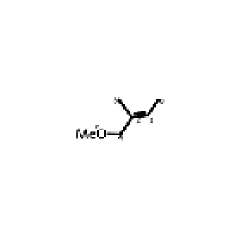 C/C=C(\C)COC